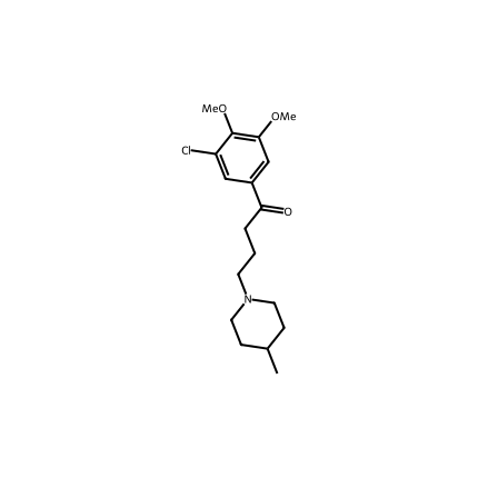 COc1cc(C(=O)CCCN2CCC(C)CC2)cc(Cl)c1OC